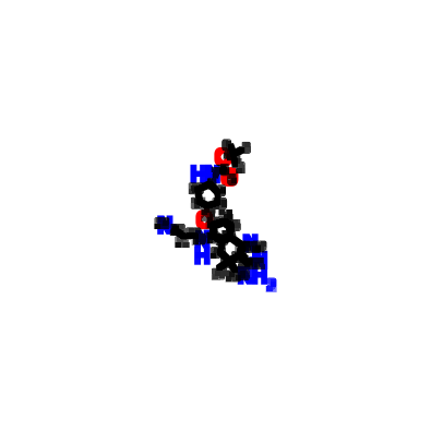 CC(C)(C)OC(=O)N[C@H]1CC[C@H](Oc2ccc3c(c2NCCC#N)CC(C)(C)c2c(N)ncnc2-3)CC1